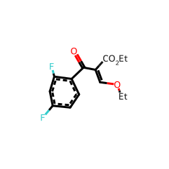 CCOC=C(C(=O)OCC)C(=O)c1ccc(F)cc1F